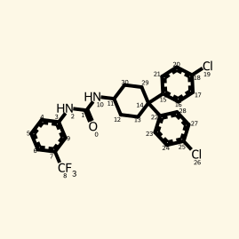 O=C(Nc1cccc(C(F)(F)F)c1)NC1CCC(c2ccc(Cl)cc2)(c2ccc(Cl)cc2)CC1